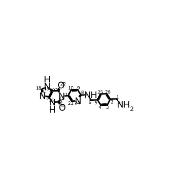 NCc1ccc(CNc2ccc(-n3c(=O)[nH]c4nc[nH]c4c3=O)cn2)cc1